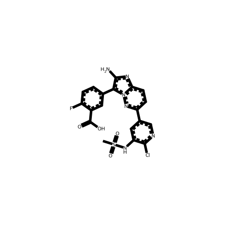 CS(=O)(=O)Nc1cc(-c2ccc3nc(N)c(-c4ccc(F)c(C(=O)O)c4)n3n2)cnc1Cl